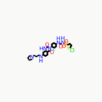 O=C(Nc1ccc(-n2c(=O)[nH]c3cc(NCCCN4CCCC4)ccc3c2=O)c(F)c1)NS(=O)(=O)c1ccc(Cl)s1